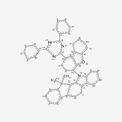 CC1(C)c2ccccc2-c2ccc3c4ccccc4n(-c4ccc(-c5nc(-c6ccccc6)nc(-c6ccccc6)n5)c5c4oc4ccccc45)c3c21